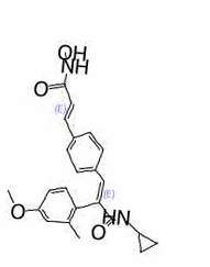 COc1ccc(/C(=C\c2ccc(/C=C/C(=O)NO)cc2)C(=O)NC2CC2)c(C)c1